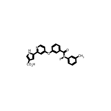 Cc1cccc(N(F)C(=O)c2cccc(Oc3ccnc(-c4cc(C(=O)O)c[nH]4)c3)c2)c1